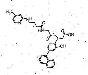 Cc1ccnc(NCCCC(=O)NCC(=O)NC(CC(=O)O)c2ccc(-c3cccc4ccccc34)cc2O)c1